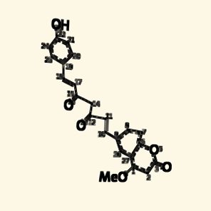 COc1cc(=O)oc2ccc(/C=C/C(=O)CC(=O)/C=C/c3ccc(O)cc3)cc12